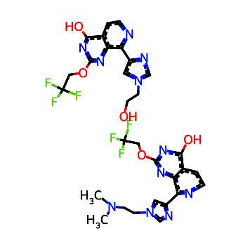 CN(C)CCn1cnc(-c2nccc3c(O)nc(OCC(F)(F)F)nc23)c1.OCCn1cnc(-c2nccc3c(O)nc(OCC(F)(F)F)nc23)c1